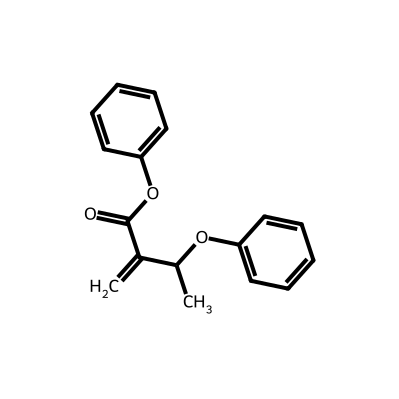 C=C(C(=O)Oc1ccccc1)C(C)Oc1ccccc1